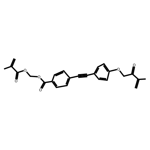 C=C(C)C(=O)COc1ccc(C#Cc2ccc(C(=O)OCOC(=O)C(=C)C)cc2)cc1